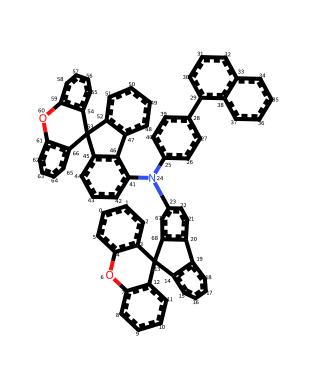 c1ccc2c(c1)Oc1ccccc1C21c2ccccc2-c2ccc(N(c3ccc(-c4cccc5ccccc45)cc3)c3cccc4c3-c3ccccc3C43c4ccccc4Oc4ccccc43)cc21